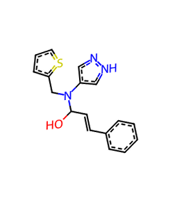 OC(/C=C/c1ccccc1)N(Cc1cccs1)c1cn[nH]c1